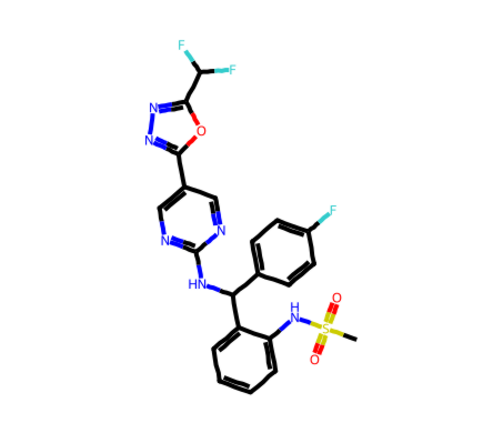 CS(=O)(=O)Nc1ccccc1C(Nc1ncc(-c2nnc(C(F)F)o2)cn1)c1ccc(F)cc1